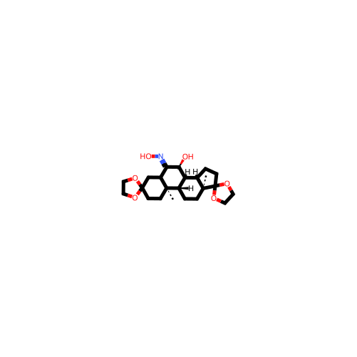 C[C@]12CCC3(CC1/C(=N\O)[C@@H](O)[C@@H]1[C@@H]2CC[C@@]2(C)[C@H]1CCC21OCCO1)OCCO3